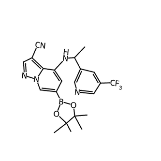 CC(Nc1cc(B2OC(C)(C)C(C)(C)O2)cn2ncc(C#N)c12)c1cncc(C(F)(F)F)c1